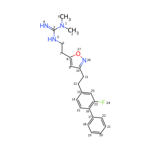 CN(C)C(=N)NCCc1cc(CCc2ccc(-c3ccccc3)c(F)c2)no1